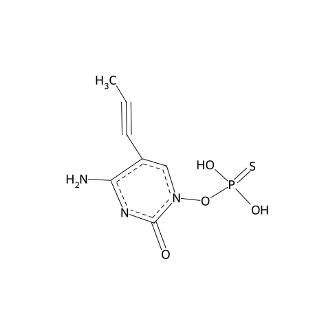 CC#Cc1cn(OP(O)(O)=S)c(=O)nc1N